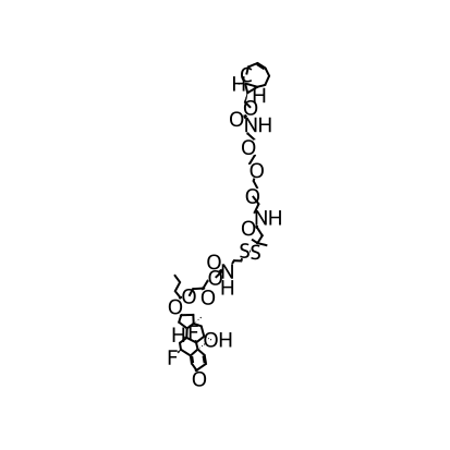 CCCC(OCC(=O)COC(=O)NCCSSC(C)(C)CC(=O)NCCOCCOCCOCCNC(=O)OC[C@@H]1[C@@H]2CC/C=C\CC[C@@H]21)O[C@@H]1CC2[C@@H]3C[C@H](F)C4=CC(=O)C=C[C@]4(C)[C@@]3(F)[C@@H](O)C[C@]2(C)C1